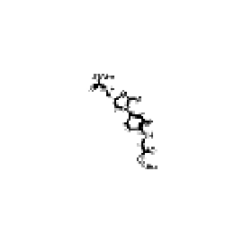 CNC(=S)NC[C@H]1CN(c2ccc(NCC(=O)OC(C)(C)C)c(F)c2)C(=O)O1